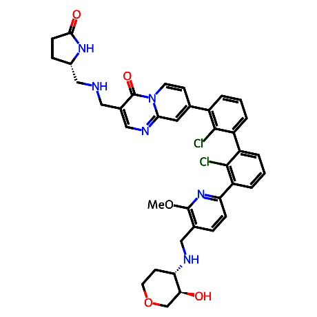 COc1nc(-c2cccc(-c3cccc(-c4ccn5c(=O)c(CNC[C@@H]6CCC(=O)N6)cnc5c4)c3Cl)c2Cl)ccc1CN[C@H]1CCOC[C@@H]1O